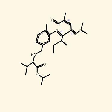 CCC(C)C(=N\c1cc(CNC(C(=O)OC(C)C)C(C)C)ccc1C)/C(/C=C(/C)C=O)=C/N(C)C